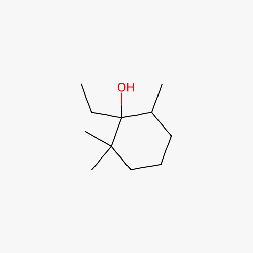 CCC1(O)C(C)CCCC1(C)C